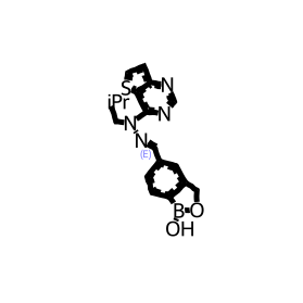 CC(C)CN(/N=C/c1ccc2c(c1)COB2O)c1ncnc2ccsc12